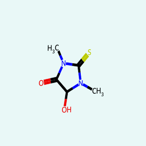 CN1C(=O)C(O)N(C)C1=S